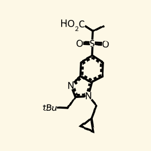 CC(C(=O)O)S(=O)(=O)c1ccc2c(c1)nc(CC(C)(C)C)n2CC1CC1